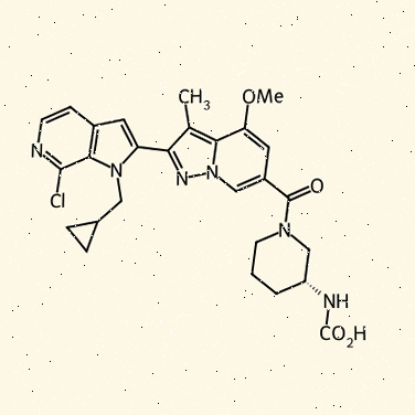 COc1cc(C(=O)N2CCC[C@@H](NC(=O)O)C2)cn2nc(-c3cc4ccnc(Cl)c4n3CC3CC3)c(C)c12